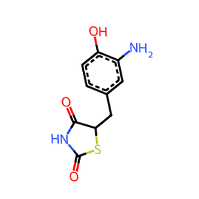 Nc1cc(CC2SC(=O)NC2=O)ccc1O